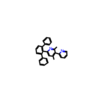 Cc1cc(-c2c(-c3ccccc3)cccc2-c2ccccc2)nc(C)c1-c1ccccn1